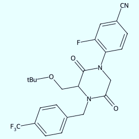 CC(C)(C)OCC1C(=O)N(c2ccc(C#N)cc2F)CC(=O)N1Cc1ccc(C(F)(F)F)cc1